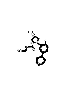 C[C@H]1C[C@@H](C(=O)NCC#N)N(c2cc(-c3ccccc3)ccc2Cl)C1